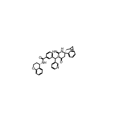 N=C1N[C@@](CC2CC2)(c2ccccc2)CC(=O)N1C(c1cccnc1)c1cccc(C(=O)N[C@H]2CCOc3ccccc32)c1